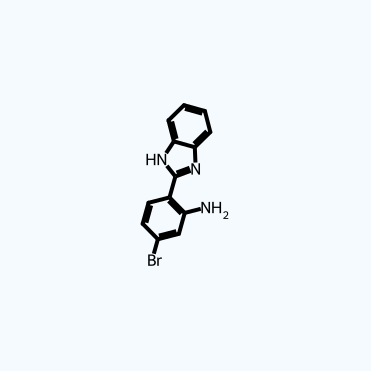 Nc1cc(Br)ccc1-c1nc2ccccc2[nH]1